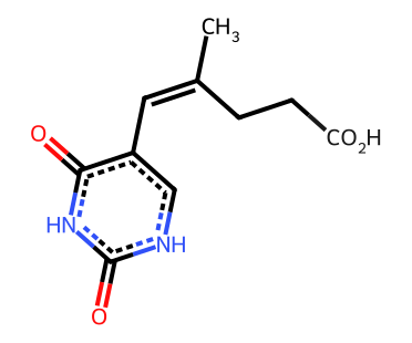 CC(=Cc1c[nH]c(=O)[nH]c1=O)CCC(=O)O